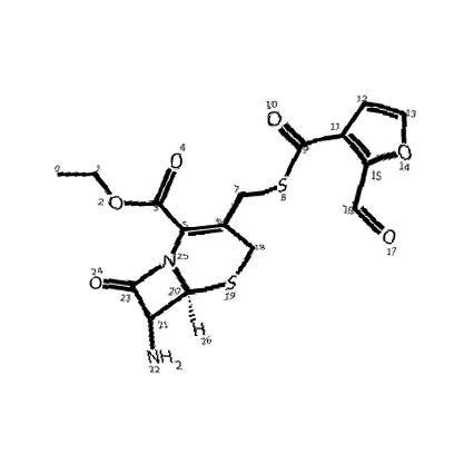 CCOC(=O)C1=C(CSC(=O)c2ccoc2C=O)CS[C@H]2C(N)C(=O)N12